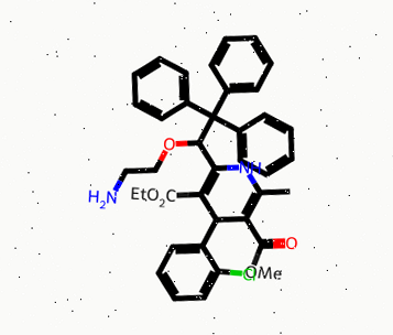 CCOC(=O)C1=C(C(OCCN)C(c2ccccc2)(c2ccccc2)c2ccccc2)NC(C)=C(C(=O)OC)C1c1ccccc1Cl